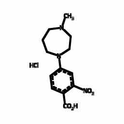 CN1CCCN(c2ccc(C(=O)O)c([N+](=O)[O-])c2)CC1.Cl